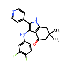 CC1(C)CC(=O)c2c([nH]c(-c3ccncc3)c2Nc2ccc(F)c(F)c2)C1